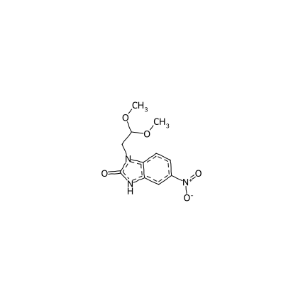 COC(Cn1c(=O)[nH]c2cc([N+](=O)[O-])ccc21)OC